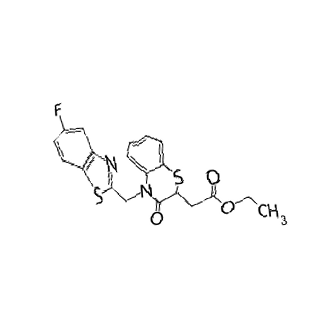 CCOC(=O)CC1Sc2ccccc2N(Cc2nc3cc(F)ccc3s2)C1=O